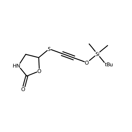 CC(C)(C)[Si](C)(C)OC#CSC1CNC(=O)O1